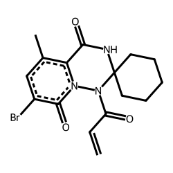 C=CC(=O)N1n2c(c(C)cc(Br)c2=O)C(=O)NC12CCCCC2